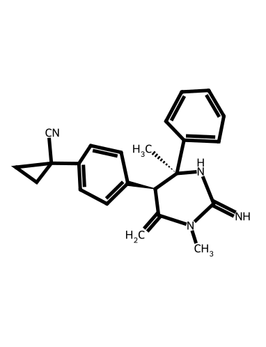 C=C1[C@@H](c2ccc(C3(C#N)CC3)cc2)[C@@](C)(c2ccccc2)NC(=N)N1C